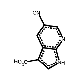 O=Nc1cnc2[nH]cc(C(=O)O)c2c1